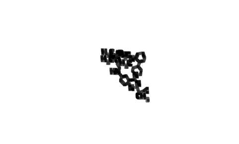 CC(c1nc(N2CCC(c3ccccc3N(C)C)CC2)c2cc(NCCO[Si](C)(C)C(C)(C)C)ccc2n1)C1CC1